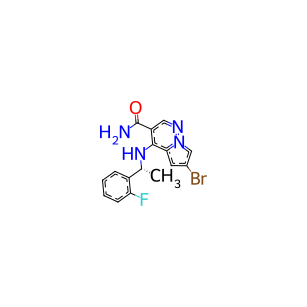 C[C@@H](Nc1c(C(N)=O)cnn2cc(Br)cc12)c1ccccc1F